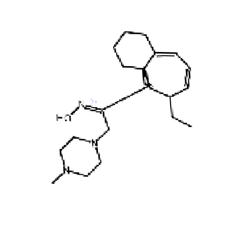 CCC1C=CC=C2CCCCC23CC=C(/C(CN2CCN(C)CC2)=N/O)C=C13